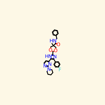 CC1(C(=O)NCc2ccccc2)COC(c2nc(-c3ccc(F)cc3)c(-c3ccnc(N4CCCCC4)n3)[nH]2)OC1